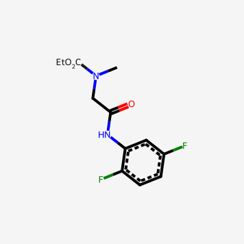 CCOC(=O)N(C)CC(=O)Nc1cc(F)ccc1F